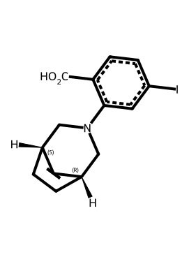 O=C(O)c1ccc(I)cc1N1C[C@H]2CC[C@@H](C1)C21CC1